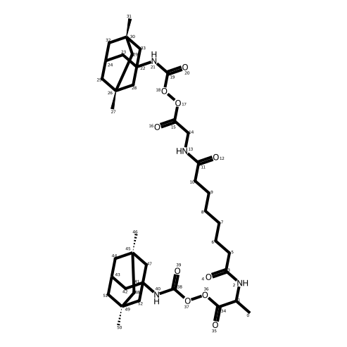 CC(NC(=O)CCCCCCC(=O)NCC(=O)OOC(=O)NC12CC3C[C@@](C)(C1)C[C@](C)(C3)C2)C(=O)OOC(=O)NC12CC3C[C@@](C)(C1)C[C@](C)(C3)C2